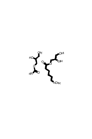 CCCC(=O)OCC(O)CO.CCCCCCCCCCCCCCCC(=O)OCC(O)CO